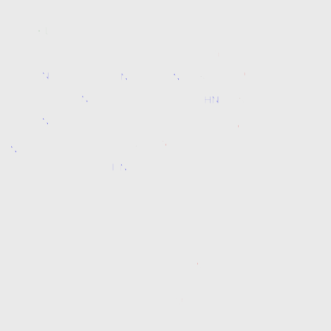 O=C(CC1CN(C(=O)NS(=O)(=O)c2ccccc2)CCN1c1cc(Cl)nc(-n2ccnc2)n1)NCCc1ccc2c(c1)OCO2